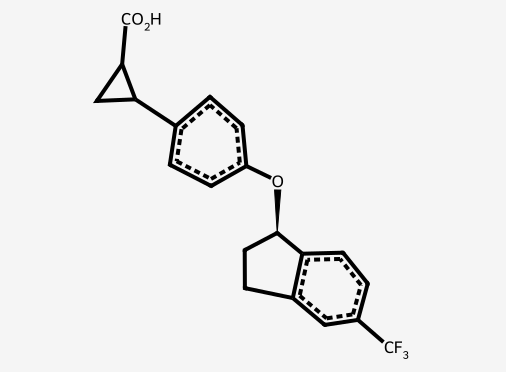 O=C(O)C1CC1c1ccc(O[C@@H]2CCc3cc(C(F)(F)F)ccc32)cc1